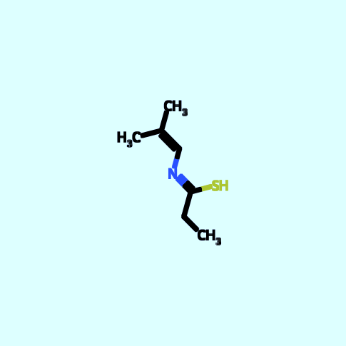 CC/C(S)=N/C=C(C)C